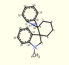 CN1CC2(CCCCC23CNc2ccccc23)c2ccccc21